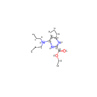 CCCN(CCC)c1nc(C(=O)OCC)nc2c1CCC2